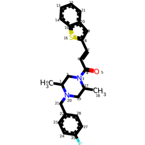 CC1CN(C(=O)C=Cc2cc3ccccc3s2)C(C)CN1Cc1ccc(F)cc1